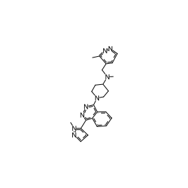 Cc1nnccc1CN(C)C1CCN(c2nnc(-c3ccnn3C)c3ccccc23)CC1